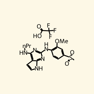 CCCNc1nc(Nc2ccc(S(C)(=O)=O)cc2OC)nc2[nH]ccc12.O=C(O)C(F)(F)F